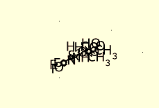 Cc1cc(OC(C)(C)C(=O)O)c(C)cc1OCCNc1nc(-c2ccc(OC(F)(F)F)cc2)cs1